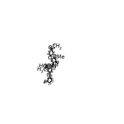 C=CC(=O)N1CCC(Oc2cc3c(Nc4ccc(OCc5cccc(F)c5)cc4C(C)(C)O)ncnc3cc2OC)CC1